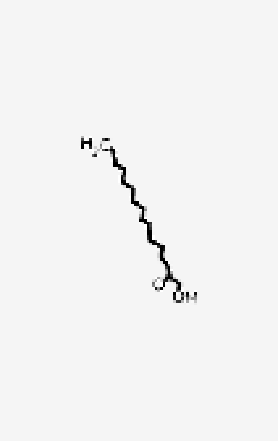 CCCCCCCCCCCCCCC(=O)CO